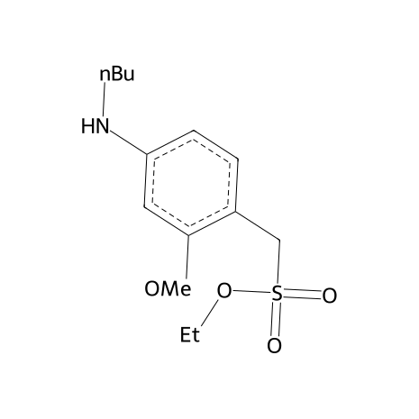 CCCCNc1ccc(CS(=O)(=O)OCC)c(OC)c1